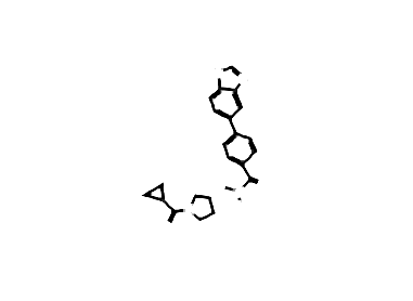 CN(C[C@@H]1CCN(C(=O)C2CC2)C1)C(=O)c1ccc(-c2ccc3[nH]cnc3c2)cc1